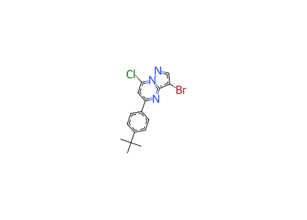 CC(C)(C)c1ccc(-c2cc(Cl)n3ncc(Br)c3n2)cc1